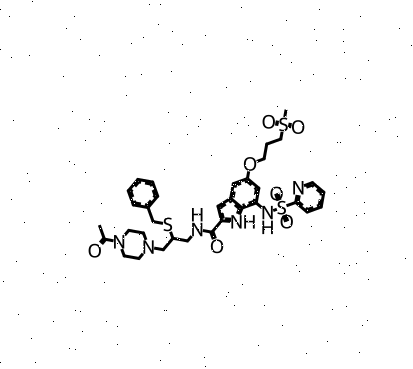 CC(=O)N1CCN(CC(CNC(=O)c2cc3cc(OCCCS(C)(=O)=O)cc(NS(=O)(=O)c4ccccn4)c3[nH]2)SCc2ccccc2)CC1